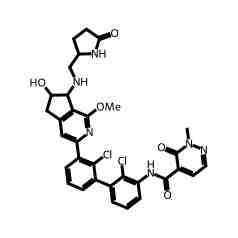 COc1nc(-c2cccc(-c3cccc(NC(=O)c4ccnn(C)c4=O)c3Cl)c2Cl)cc2c1C(NCC1CCC(=O)N1)C(O)C2